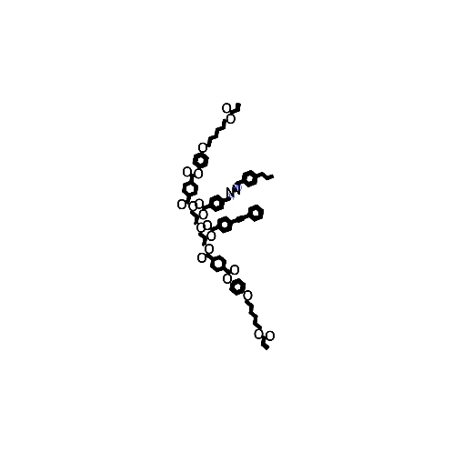 C=CC(=O)OCCCCCCOc1ccc(OC(=O)C2CCC(C(=O)OCC(COCC(COC(=O)C3CCC(C(=O)Oc4ccc(OCCCCCCOC(=O)C=C)cc4)CC3)OC(=O)c3ccc(/C=N/N=C/c4ccc(CCC)cc4)cc3)OC(=O)c3ccc(C#Cc4ccccc4)cc3)CC2)cc1